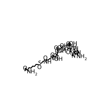 CC(=O)C(N)CCCCCC(=O)SCCNC(=O)CCNC(=O)[C@H](O)C(C)(C)COP(=O)(O)OP(=O)(O)OC[C@H]1O[C@@H](n2cnc3c(N)ncnc32)[C@H](O)[C@@H]1OP(=O)(O)O